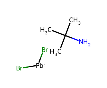 CC(C)(C)N.[Br][Pb][Br]